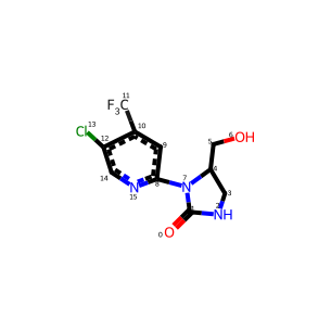 O=C1NCC(CO)N1c1cc(C(F)(F)F)c(Cl)cn1